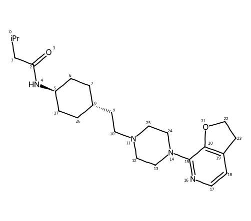 CC(C)CC(=O)N[C@H]1CC[C@H](CCN2CCN(c3nccc4c3OCC4)CC2)CC1